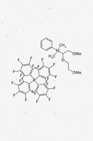 COCCOC(COC)[N+](C)(C)c1ccccc1.Fc1c(F)c(F)c([B-](c2c(F)c(F)c(F)c(F)c2F)(c2c(F)c(F)c(F)c(F)c2F)c2c(F)c(F)c(F)c(F)c2F)c(F)c1F